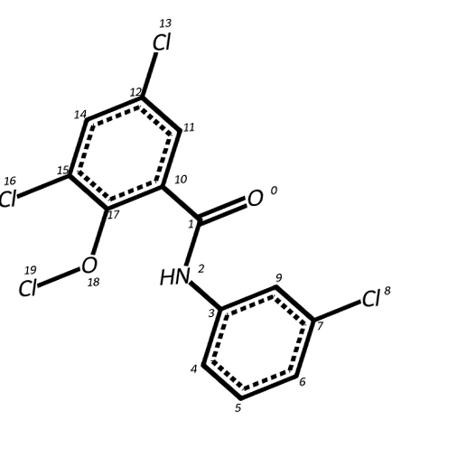 O=C(Nc1cccc(Cl)c1)c1cc(Cl)cc(Cl)c1OCl